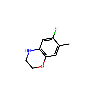 Cc1cc2c(cc1Cl)NCCO2